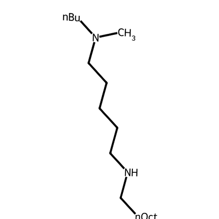 CCCCCCCCCNCCCCCN(C)CCCC